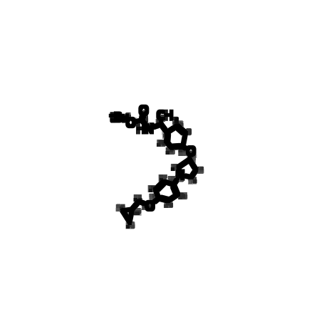 C[C@H](NC(=O)OC(C)(C)C)c1ccc(O[C@@H]2CCN(c3ccc(OCC4CC4)cc3)C2)cc1